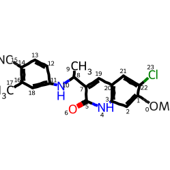 COc1cc2[nH]c(=O)c(C(C)Nc3ccc(C#N)c(C)c3)cc2cc1Cl